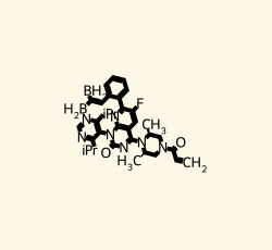 BC(B)=Cc1ccccc1-c1nc2c(cc1F)c(N1[C@@H](C)CN(C(=O)C=C)C[C@@H]1C)nc(=O)n2-c1c(C(C)C)ncnc1C(C)C